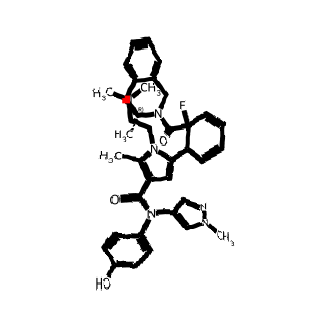 Cc1c(C(=O)N(c2ccc(O)cc2)c2cnn(C)c2)cc(C2C=CC=CC2(F)C(=O)N2Cc3ccccc3C[C@H]2C)n1CCN(C)C